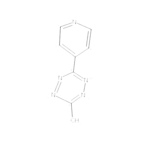 Cc1nnc(-c2ccncc2)nn1